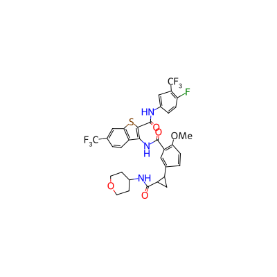 COc1ccc(C2CC2C(=O)NC2CCOCC2)cc1C(=O)Nc1c(C(=O)Nc2ccc(F)c(C(F)(F)F)c2)sc2cc(C(F)(F)F)ccc12